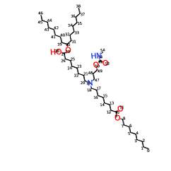 CCCCCCCCCOC(=O)CCCCCCCN(CCCCCCCC(O)OC(CCCCCCCC)CCCCCCCC)CCCOC(=O)NC